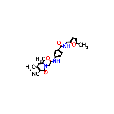 Cc1ccc(CNC(=O)c2ccc(NC(=O)Cn3c(C)cc(C)c(C#N)c3=O)cc2)o1